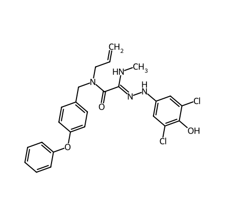 C=CCN(Cc1ccc(Oc2ccccc2)cc1)C(=O)/C(=N/Nc1cc(Cl)c(O)c(Cl)c1)NC